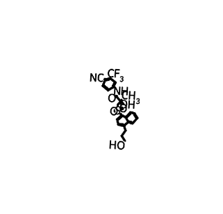 CC(O)(CS(=O)(=O)c1ccc(CCCO)c2ccccc12)C(=O)Nc1ccc(C#N)c(C(F)(F)F)c1